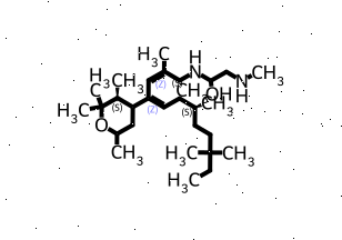 CCC(C)(C)CC[C@H](C)C/C=C(\C=C(\C)[C@H](C)NC(O)CNC)C1CC(C)OC(C)(C)[C@H]1C